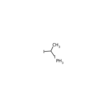 CC(I)I.P